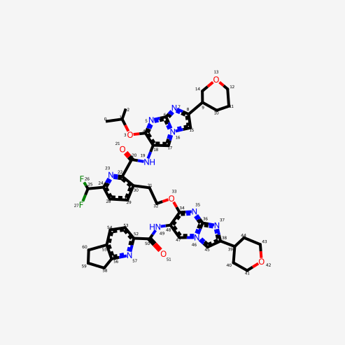 CC(C)Oc1nc2nc(C3CCCOC3)cn2cc1NC(=O)c1nc(C(F)F)ccc1CCOc1nc2nc(C3CCOCC3)cn2cc1NC(=O)c1ccc2c(n1)CCC2